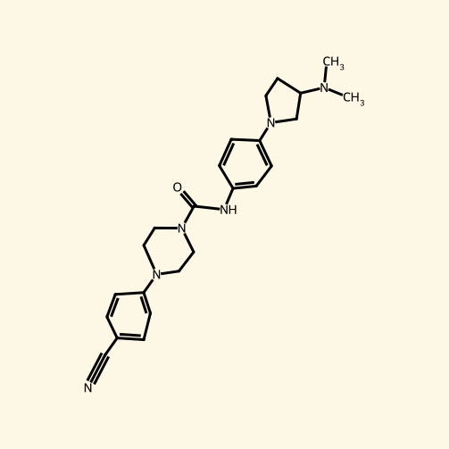 CN(C)C1CCN(c2ccc(NC(=O)N3CCN(c4ccc(C#N)cc4)CC3)cc2)C1